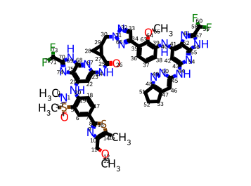 CN=S(C)(=O)c1cc(-c2nc(COC)c(C)s2)ccc1Nc1cc(NC(=O)C2CC2Cn2ncc(-c3cccc(Nc4cc(Nc5cc6c(nn5)CCC6)nc5[nH]c(C(F)F)nc45)c3OC)n2)nc2[nH]c(C(F)F)nc12